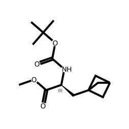 COC(=O)[C@H](CC12CC(C1)C2)NC(=O)OC(C)(C)C